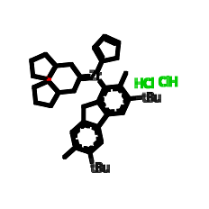 Cc1cc2c(cc1C(C)(C)C)-c1cc(C(C)(C)C)c(C)[c]([Zr]([C]3=CC=CC3)=[C](CC3CCCC3)CC3CCCC3)c1C2.Cl.Cl